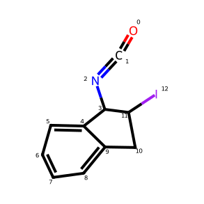 O=C=NC1c2ccccc2CC1I